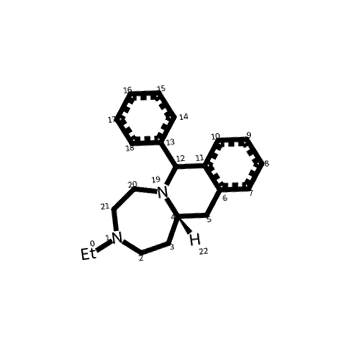 CCN1CC[C@H]2Cc3ccccc3C(c3ccccc3)N2CC1